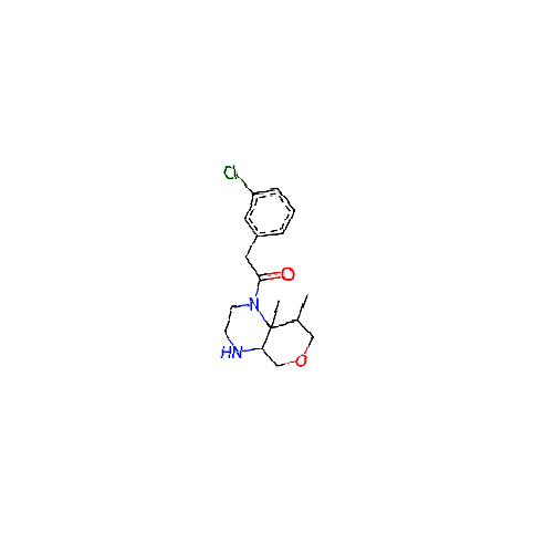 CC1COCC2NCCN(C(=O)Cc3cccc(Cl)c3)C12C